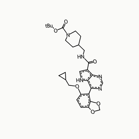 CC(C)(C)OC(=O)N1CCC(CNC(=O)c2c[nH]c3c(-c4c(OCC5CC5)ccc5c4OCO5)ncnc23)CC1